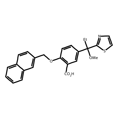 CCC(OC)(c1ccc(OCc2ccc3ccccc3c2)c(C(=O)O)c1)c1nccs1